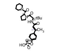 C/C(=C\C(=O)N[C@H](C(=O)N1CCC[C@H]1C(=O)N1CCCCC1)C(C)(C)C)c1ccc(OP(=O)(O)O)cc1